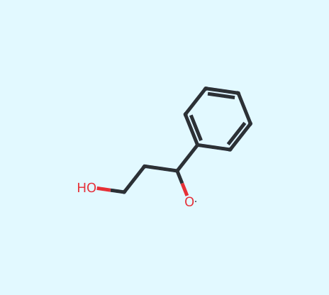 [O]C(CCO)c1ccccc1